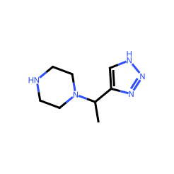 CC(c1c[nH]nn1)N1CCNCC1